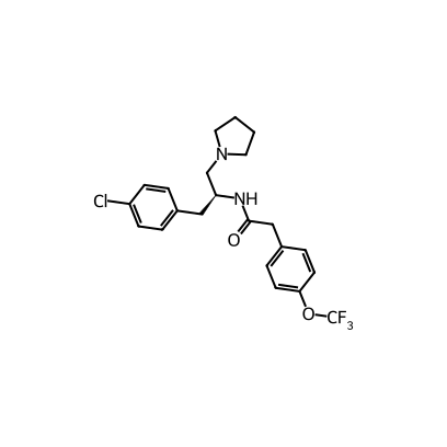 O=C(Cc1ccc(OC(F)(F)F)cc1)N[C@@H](Cc1ccc(Cl)cc1)CN1CCCC1